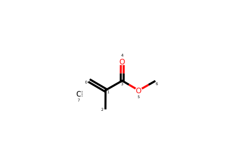 C=C(C)C(=O)OC.[C]